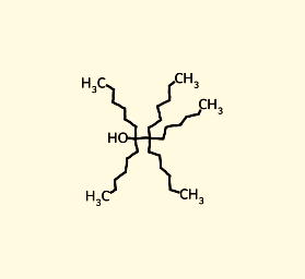 CCCCCCC(O)(CCCCCC)C(CCCCCC)(CCCCCC)CCCCCC